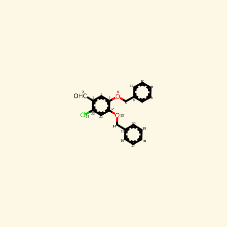 O=Cc1cc(OCc2ccccc2)c(OCc2ccccc2)cc1Cl